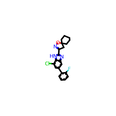 Fc1ccccc1-c1cc(Cl)c2[nH]c(C3=NOC4(CCCCC4)C3)nc2c1